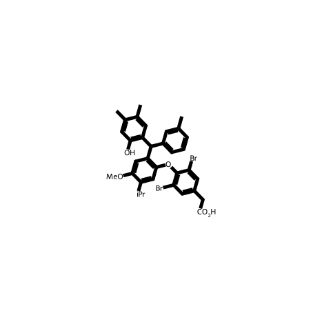 COc1cc(C(c2cccc(C)c2)c2cc(C)c(C)cc2O)c(Oc2c(Br)cc(CC(=O)O)cc2Br)cc1C(C)C